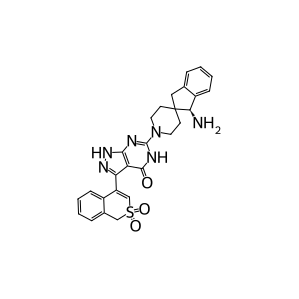 N[C@@H]1c2ccccc2CC12CCN(c1nc3[nH]nc(C4=CS(=O)(=O)Cc5ccccc54)c3c(=O)[nH]1)CC2